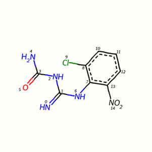 N=C(NC(N)=O)Nc1c(Cl)cccc1[N+](=O)[O-]